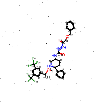 C[C@@H](OC[C@@]1(c2ccccc2)CC[C@H](NC(=O)NNC(=O)COCc2ccccc2)CN1)c1cc(C(F)(F)F)cc(C(F)(F)F)c1